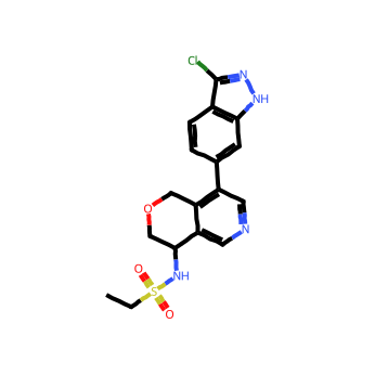 CCS(=O)(=O)NC1COCc2c(-c3ccc4c(Cl)n[nH]c4c3)cncc21